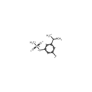 CC(C)c1cc(F)cc(OS(C)(=O)=O)c1